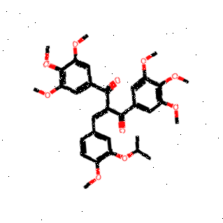 COc1ccc(C=C(C(=O)c2cc(OC)c(OC)c(OC)c2)C(=O)c2cc(OC)c(OC)c(OC)c2)cc1OC(C)C